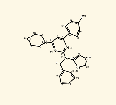 Fc1ccc(-c2cc(N3CCOCC3)nc(N(Cc3ccccc3)C3=COCO3)n2)cc1